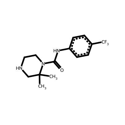 CC1(C)CNCCN1C(=O)Nc1ccc(C(F)(F)F)cc1